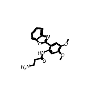 COc1cc(NC(=O)CCN)c(-c2nc3ccccc3o2)cc1OC